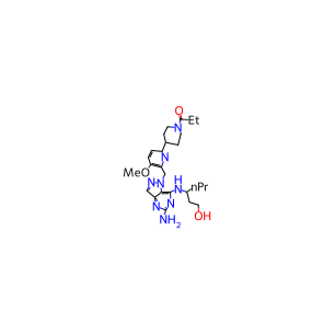 CCCC(CCO)Nc1nc(N)nc2cnn(Cc3nc(C4CCN(C(=O)CC)CC4)ccc3OC)c12